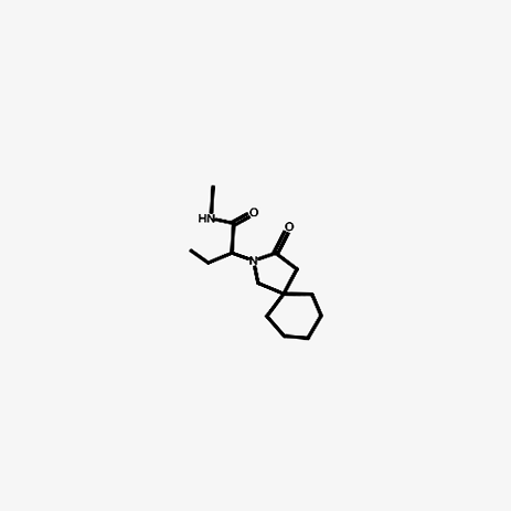 CCC(C(=O)NC)N1CC2(CCCCC2)CC1=O